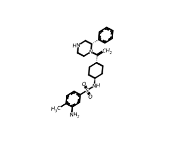 C=C([C@H]1CC[C@H](NS(=O)(=O)c2ccc(C)c(N)c2)CC1)N1CCNC[C@@H]1c1ccccc1